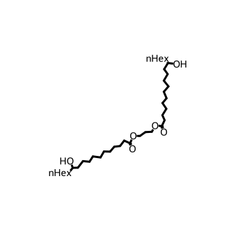 CCCCCCC(O)CCCCCCCCCCC(=O)OCCCOC(=O)CCCCCCCCCCC(O)CCCCCC